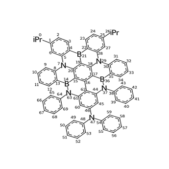 CC(C)c1ccc2c(c1)N1c3ccccc3B3c4c5c6c7c(c41)B2c1ccc(C(C)C)cc1N7c1ccccc1B6N(c1ccccc1)c1cc(N(c2ccccc2)c2ccccc2)cc(c1-5)N3c1ccccc1